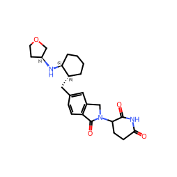 O=C1CCC(N2Cc3cc(C[C@H]4CCCC[C@@H]4N[C@H]4CCOC4)ccc3C2=O)C(=O)N1